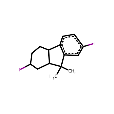 CC1(C)c2cc(I)ccc2C2CCC(I)CC21